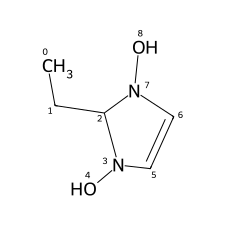 CCC1N(O)C=CN1O